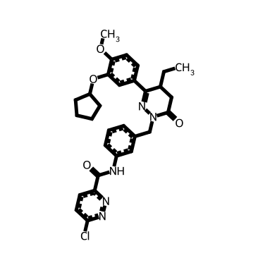 CCC1CC(=O)N(Cc2cccc(NC(=O)c3ccc(Cl)nn3)c2)N=C1c1ccc(OC)c(OC2CCCC2)c1